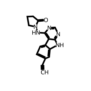 C#Cc1ccc2c(c1)[nH]c1ncnc(NN3CCCC3=O)c12